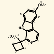 CCOC(=O)C1(c2nccc3c2[nH]c2ccc(OC)cc23)CCC1